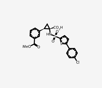 COC(=O)c1cccc([C@H]2C[C@@]2(NS(=O)(=O)c2ccc(-c3ccc(Cl)cc3)s2)C(=O)O)c1